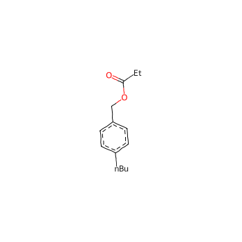 CCCCc1ccc(COC(=O)CC)cc1